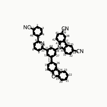 N#Cc1cccc(-c2cccc(-c3cc(-c4ccc5oc6ccccc6c5c4)cc(-n4c5ccc(C#N)cc5c5cc(C#N)ccc54)c3)n2)c1